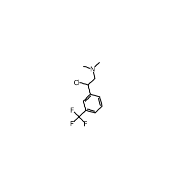 CN(C)CC(Cl)c1cccc(C(F)(F)F)c1